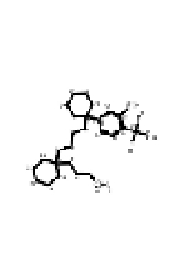 CCCCC1(CCCCC2(c3ccc(C(F)(F)F)c(F)c3)CCCCC2)CCCCC1